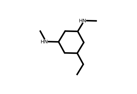 CCC1CC(NC)CC(NC)C1